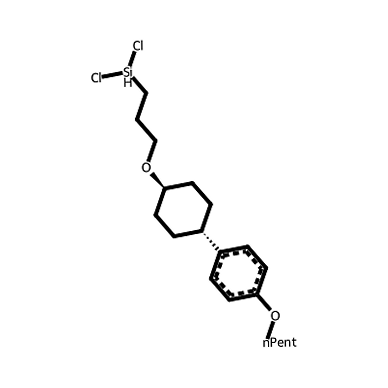 CCCCCOc1ccc([C@H]2CC[C@H](OCCC[SiH](Cl)Cl)CC2)cc1